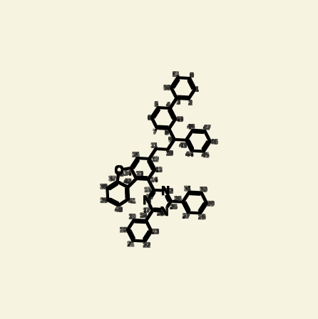 c1ccc(-c2cccc(C(CCc3cc(-c4nc(-c5ccccc5)nc(-c5ccccc5)n4)c4c(c3)oc3ccccc34)c3ccccc3)c2)cc1